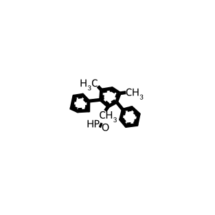 Cc1cc(C)c(-c2ccccc2)c(C)c1-c1ccccc1.O=P